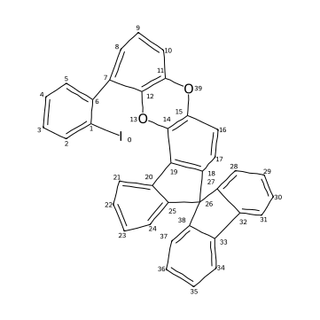 Ic1ccccc1-c1cccc2c1Oc1c(ccc3c1-c1ccccc1C31c3ccccc3-c3ccccc31)O2